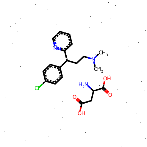 CN(C)CCC(c1ccc(Cl)cc1)c1ccccn1.NC(CC(=O)O)C(=O)O